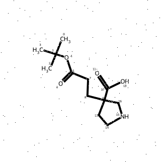 CC(C)(C)OC(=O)CCC1(C(=O)O)CCNC1